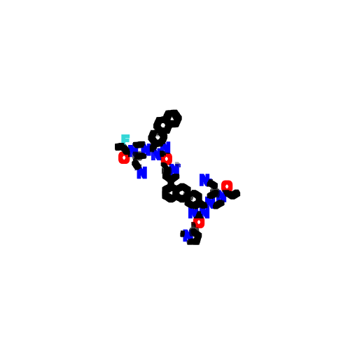 C=CC(=O)N1CCN(c2nc(OC[C@@H]3CCCN3C)nc3c2CC[C@@]2(CCc4c(cccc4C4C[C@@H](COc5nc6c(c(N7CCN(C(=O)C(=C)F)[C@@H](CC#N)C7)n5)CC[C@@]5(CCc7ccccc7C5)C6)N(C)C4)C2)C3)C[C@@H]1CC#N